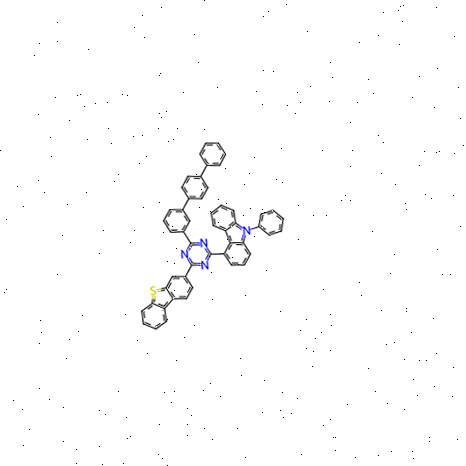 c1ccc(-c2ccc(-c3cccc(-c4nc(-c5ccc6c(c5)sc5ccccc56)nc(-c5cccc6c5c5ccccc5n6-c5ccccc5)n4)c3)cc2)cc1